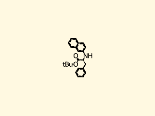 CC(C)(C)OC(=O)[C@H](Cc1ccccc1)Nc1ccc2ccccc2c1